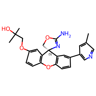 Cc1cncc(-c2ccc3c(c2)[C@@]2(COC(N)=N2)c2cc(OCC(C)(C)O)ccc2O3)c1